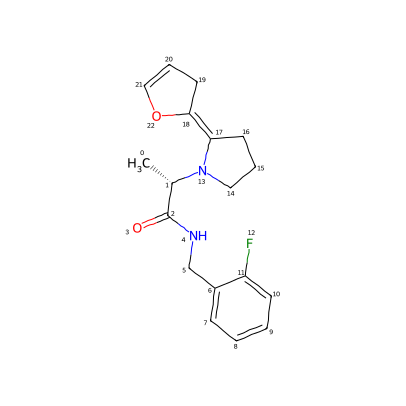 C[C@@H](C(=O)NCc1ccccc1F)N1CCCC1=C1CC=CO1